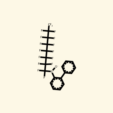 [O-][S+](c1ccccc1-c1ccccc1)C(F)(F)C(F)(F)C(F)(F)C(F)(F)C(F)(F)C(F)(F)C(F)(F)C(F)(F)F